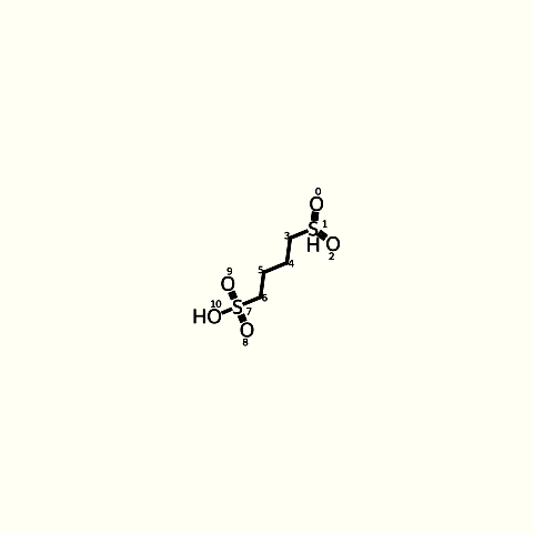 O=[SH](=O)CCCCS(=O)(=O)O